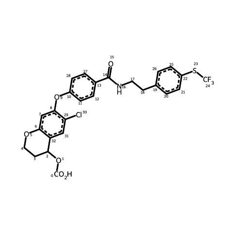 O=C(O)OC1CCOc2cc(Oc3ccc(C(=O)NCCc4ccc(SC(F)(F)F)cc4)cc3)c(Cl)cc21